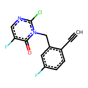 C#Cc1ccc(F)cc1Cn1c(Cl)ncc(F)c1=O